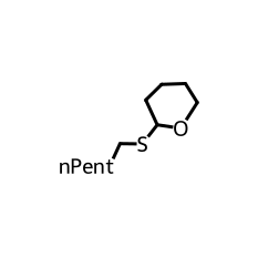 [CH2]CCCCCSC1CCCCO1